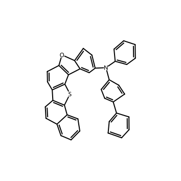 c1ccc(-c2ccc(N(c3ccccc3)c3ccc4oc5ccc6c7ccc8ccccc8c7sc6c5c4c3)cc2)cc1